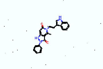 Cc1c2c(=O)n(-c3ccccc3)[nH]c2cc(=O)n1CCc1c[nH]c2ccccc12